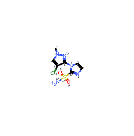 Cn1cc(Cl)c(-n2ccnc2S(N)(=O)=O)n1